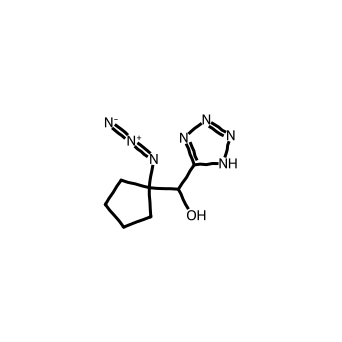 [N-]=[N+]=NC1(C(O)c2nnn[nH]2)CCCC1